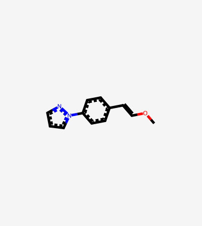 COC=Cc1ccc(-n2cccn2)cc1